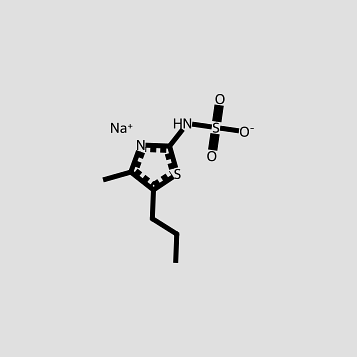 CCCc1sc(NS(=O)(=O)[O-])nc1C.[Na+]